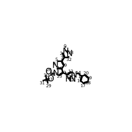 Cn1cc(-c2cnc3c(c2)c(-c2cn(Cc4ccccc4)nn2)cn3C(=O)OC(C)(C)C)cn1